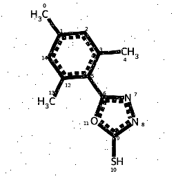 Cc1cc(C)c(-c2nnc(S)o2)c(C)c1